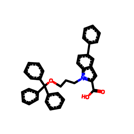 O=C(O)c1cc2cc(-c3ccccc3)ccc2n1CCCOC(c1ccccc1)(c1ccccc1)c1ccccc1